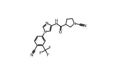 N#Cc1ccc(-n2cnc(NC(=O)C3CCN(C#N)C3)c2)cc1C(F)(F)F